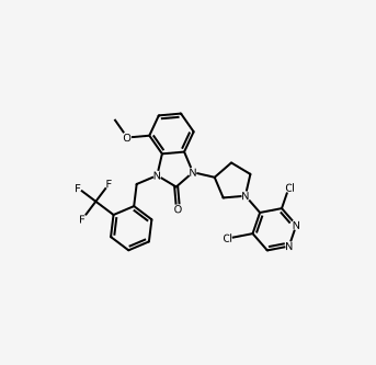 COc1cccc2c1n(Cc1ccccc1C(F)(F)F)c(=O)n2C1CCN(c2c(Cl)cnnc2Cl)C1